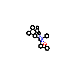 c1ccc(-c2nc(-c3ccc4c(c3)C3(c5ccccc5-c5ccccc5-4)c4ccccc4-c4ccccc43)cc(-c3cccc4c3oc3ccccc34)n2)cc1